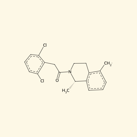 [CH2]c1cccc2c1CCN(C(=O)Cc1c(Cl)cccc1Cl)[C@H]2C